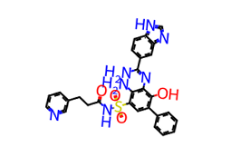 NC(=Nc1c(N)c(S(=O)(=O)NC(=O)CCc2cccnc2)cc(-c2ccccc2)c1O)c1ccc2[nH]cnc2c1